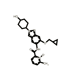 Cc1cccc(C(=O)Nc2cc3cn(C4CCC(O)CC4)nc3cc2OCC2CC2)[n+]1[O-]